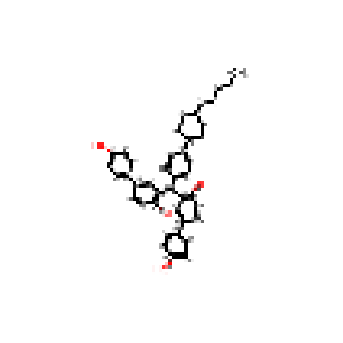 CCCCCC1CCC(c2ccc(C(c3cc(-c4ccc(O)cc4)ccc3O)c3cc(-c4ccc(O)cc4)ccc3O)cc2)CC1